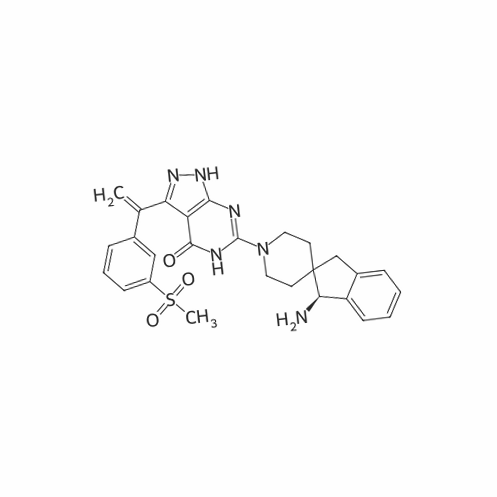 C=C(c1cccc(S(C)(=O)=O)c1)c1n[nH]c2nc(N3CCC4(CC3)Cc3ccccc3[C@H]4N)[nH]c(=O)c12